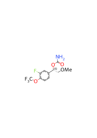 COC[C@@H](OC(N)=O)c1ccc(OC(F)(F)F)c(F)c1